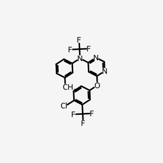 Cc1cccc(N(c2cc(Oc3ccc(Cl)c(C(F)(F)F)c3)ncn2)C(F)(F)F)c1